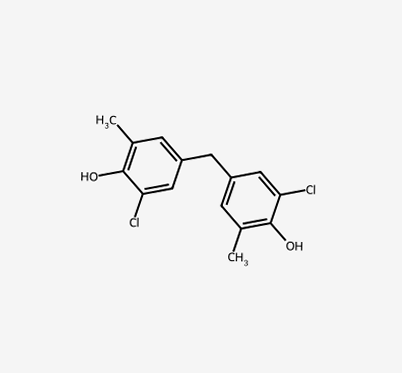 Cc1cc(Cc2cc(C)c(O)c(Cl)c2)cc(Cl)c1O